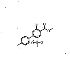 COC(=O)c1cc(S(C)(=O)=O)c(-c2ccc(C)cc2)cc1Br